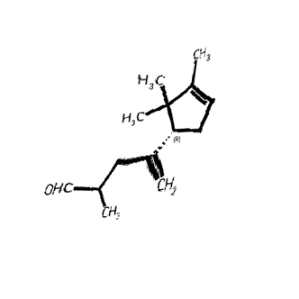 C=C(CC(C)C=O)[C@H]1CC=C(C)C1(C)C